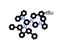 CC(C)(C)c1ccc(-c2cccc(N3c4cc(-n5c6ccccc6c6ccccc65)ccc4B4c5cc(-c6ccccc6)cc6c5N(c5ccc(-c7ccccc7)cc5-c5ccccc5-6)c5cc(-n6c7ccccc7c7ccccc76)cc3c54)c2)cc1